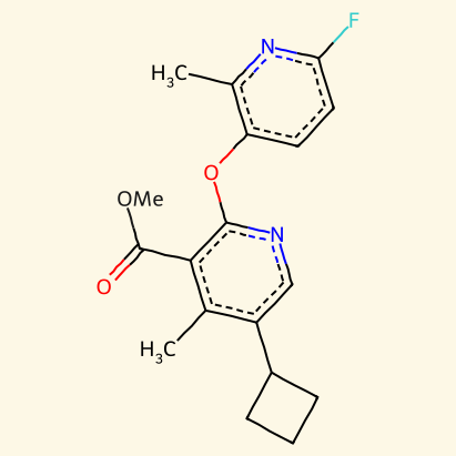 COC(=O)c1c(Oc2ccc(F)nc2C)ncc(C2CCC2)c1C